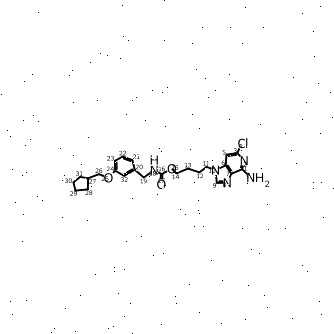 Nc1nc(Cl)cc2c1ncn2CCCCOC(=O)NCc1cccc(OCC2CCCC2)c1